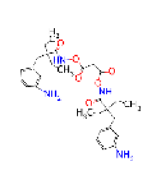 CCC(CC)(Cc1cccc(N)c1)C(=O)NOC(=O)CC(=O)ONC(=O)C(CC)(CC)Cc1cccc(N)c1